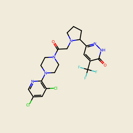 O=C(CN1CCCC1c1cc(C(F)(F)F)c(=O)[nH]n1)N1CCN(c2ncc(Cl)cc2Cl)CC1